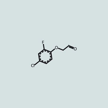 O=[C]COc1ccc(Cl)cc1F